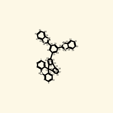 c1ccc2c(c1)Oc1ccccc1C21c2ccccc2-c2cc(-c3cc(-c4nc5ccccc5s4)cc(-c4nc5ccccc5s4)c3)ccc21